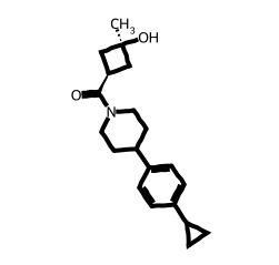 C[C@]1(O)C[C@@H](C(=O)N2CCC(c3ccc(C4CC4)cc3)CC2)C1